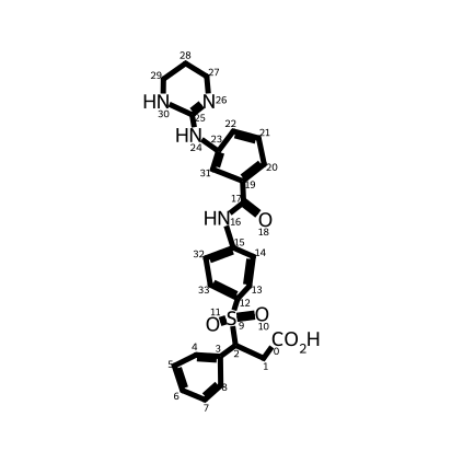 O=C(O)CC(c1ccccc1)S(=O)(=O)c1ccc(NC(=O)c2cccc(NC3=NCCCN3)c2)cc1